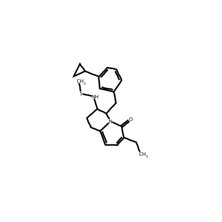 CCc1ccc2n(c1=O)C(Cc1cccc(C3CC3)c1)C(NSC)CC2